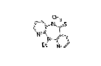 CCN1c2ncccc2C(=S)N(C)c2cccnc21